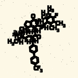 [2H]C([2H])(Sc1nc(=O)c2c(n1C([2H])([2H])C(=O)N(CCN(C([2H])([2H])C)C([2H])([2H])C)C([2H])([2H])c1ccc(-c3ccc(C(F)(F)F)cc3)cc1)CCC2)c1c(C)c(C)c(F)c(C)c1C